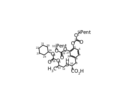 CCCC(C)OC(=O)Oc1ccc(C[C@H](NCC(C)OC(=O)OC2CCCCC2)C(=O)O)cc1OC(=O)OC(C)CCC